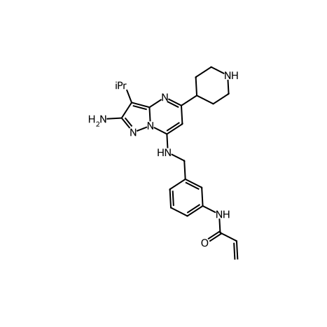 C=CC(=O)Nc1cccc(CNc2cc(C3CCNCC3)nc3c(C(C)C)c(N)nn23)c1